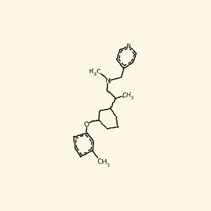 Cc1cccc(OC2CCCC(C(C)CN(C)Cc3ccncc3)C2)c1